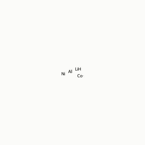 [Al].[Co].[LiH].[Ni]